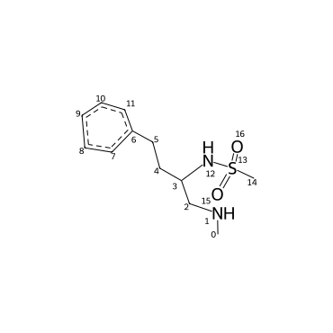 CNCC(CCc1ccccc1)NS(C)(=O)=O